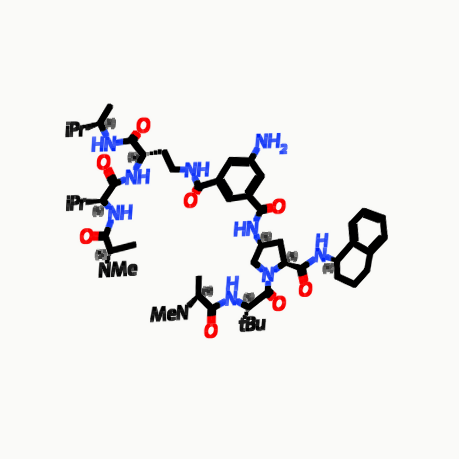 CN[C@@H](C)C(=O)N[C@H](C(=O)N[C@@H](CCNC(=O)c1cc(N)cc(C(=O)N[C@H]2C[C@@H](C(=O)N[C@@H]3CCCc4ccccc43)N(C(=O)[C@@H](NC(=O)[C@H](C)NC)C(C)(C)C)C2)c1)C(=O)N[C@H](C)C(C)C)C(C)C